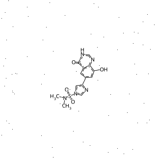 CN(C)S(=O)(=O)n1cnc(-c2cc(O)c3nc[nH]c(=O)c3c2)c1